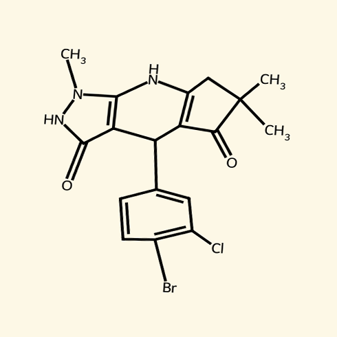 Cn1[nH]c(=O)c2c1NC1=C(C(=O)C(C)(C)C1)C2c1ccc(Br)c(Cl)c1